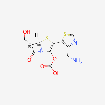 NCc1ncsc1C1=C(OC(=O)O)N2C(=O)[C@H](CO)[C@H]2S1